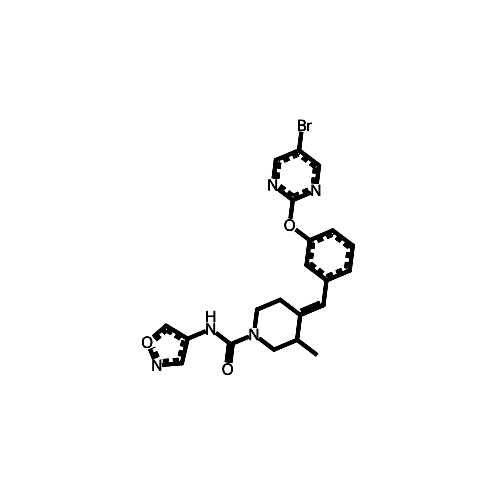 CC1CN(C(=O)Nc2cnoc2)CCC1=Cc1cccc(Oc2ncc(Br)cn2)c1